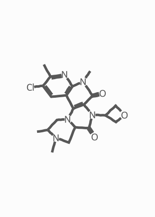 Cc1nc2c(cc1Cl)c1c(c(=O)n2C)N(C2COC2)C(=O)C2CN(C)C(C)CN12